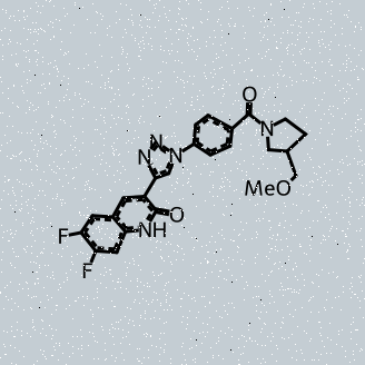 COCC1CCN(C(=O)c2ccc(-n3cc(-c4cc5cc(F)c(F)cc5[nH]c4=O)nn3)cc2)C1